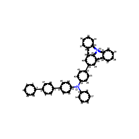 c1ccc(-c2ccc(-c3ccc(N(c4ccccc4)c4ccc(-c5cc6c7ccccc7n7c8ccccc8c(c5)c67)cc4)cc3)cc2)cc1